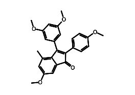 COc1ccc(C2=C(c3cc(OC)cc(OC)c3)c3c(C)cc(OC)cc3C2=O)cc1